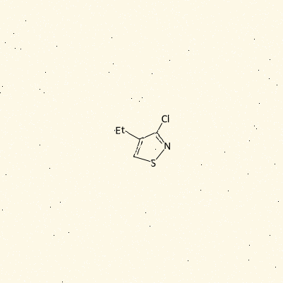 C[CH]c1csnc1Cl